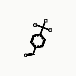 O=[C]c1ccc(C(Cl)(Cl)Cl)cc1